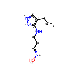 CCc1c[nH]nc1NCCC=NO